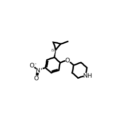 CC1C[C@@H]1C1C=C([N+](=O)[O-])C=CC1OC1CCNCC1